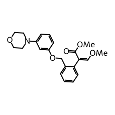 COC=C(C(=O)OC)c1ccccc1COc1cccc(N2CCOCC2)c1